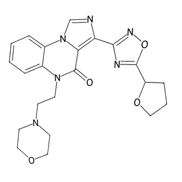 O=c1c2c(-c3noc(C4CCCO4)n3)ncn2c2ccccc2n1CCN1CCOCC1